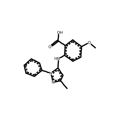 COc1ccc(Nc2cc(C)nn2-c2ccccc2)c(C(=O)O)c1